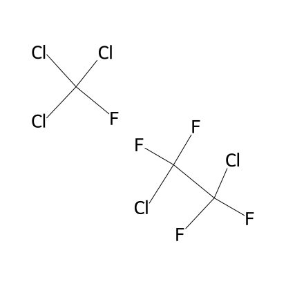 FC(Cl)(Cl)Cl.FC(F)(Cl)C(F)(F)Cl